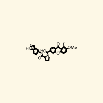 COc1ccc(O)c(C(=O)c2ccc(C(=O)N3CCCC3C(=O)Nc3ccc4[nH]ncc4c3)cc2)c1F